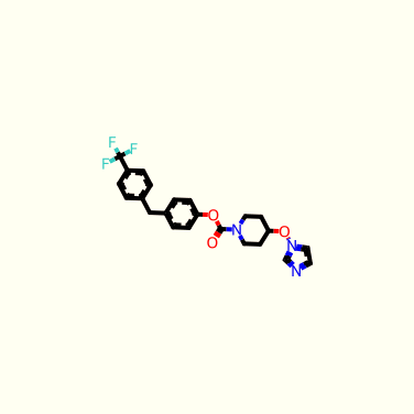 O=C(Oc1ccc(Cc2ccc(C(F)(F)F)cc2)cc1)N1CCC(On2ccnc2)CC1